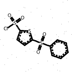 O=S(=O)(Cl)c1ccc(S(=O)(=O)c2ccccc2)s1